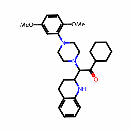 COc1ccc(OC)c(N2CCN(C(C(=O)C3CCCCC3)C3CCc4ccccc4N3)CC2)c1